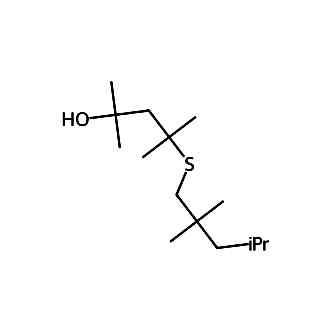 CC(C)CC(C)(C)CSC(C)(C)CC(C)(C)O